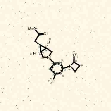 COC(=O)C[C@H]1[C@H]2CN(c3cc(C(F)(F)F)nc(N4CCC4C(F)(F)F)n3)C[C@@H]12